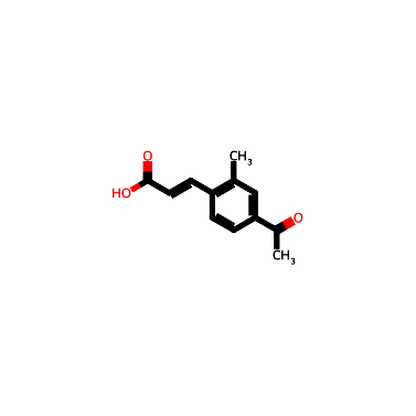 CC(=O)c1ccc(/C=C/C(=O)O)c(C)c1